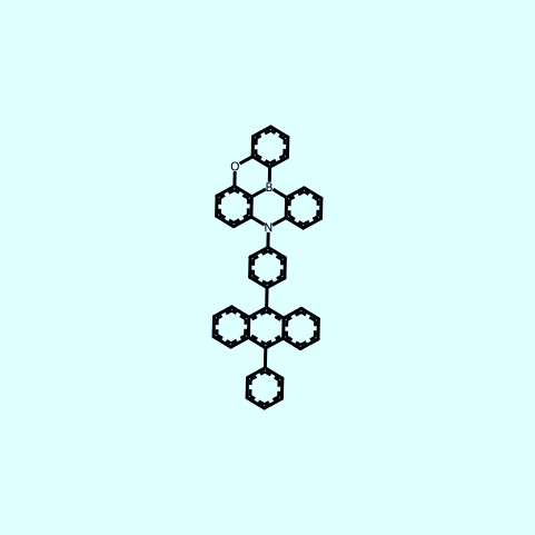 c1ccc(-c2c3ccccc3c(-c3ccc(N4c5ccccc5B5c6ccccc6Oc6cccc4c65)cc3)c3ccccc23)cc1